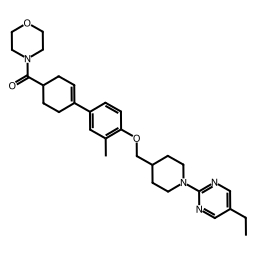 CCc1cnc(N2CCC(COc3ccc(C4=CCC(C(=O)N5CCOCC5)CC4)cc3C)CC2)nc1